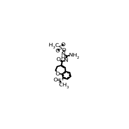 C[S+]([O-])c1cccc2c1OCCC(C(=O)N=C(N)NOS(C)(=O)=O)=C2